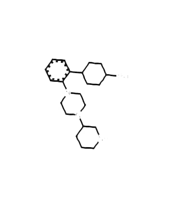 CC(C)(C)C1CCC(c2ccccc2N2CCN(C3CCCNC3)CC2)CC1